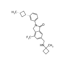 CC1(NCc2cc3c(c(C(F)(F)F)c2)CN(c2cccc([C@H]4C[C@@H](C)C4)c2)C3=O)CCC1